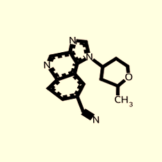 CC1CC(n2cnc3cnc4ccc(C#N)cc4c32)CCO1